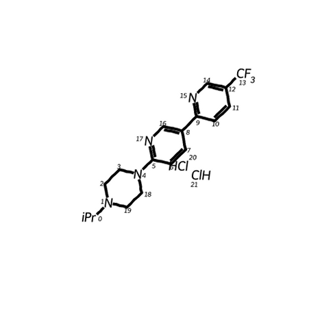 CC(C)N1CCN(c2ccc(-c3ccc(C(F)(F)F)cn3)cn2)CC1.Cl.Cl